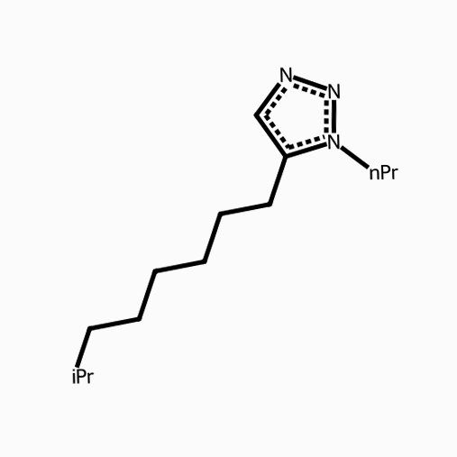 CCCn1nncc1CCCCCCC(C)C